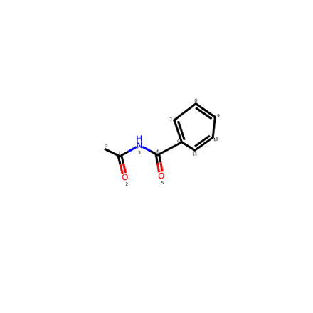 [CH2]C(=O)NC(=O)c1ccccc1